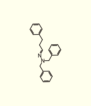 C(/CCc1ccccc1)=N\N(Cc1ccccc1)Cc1ccccc1